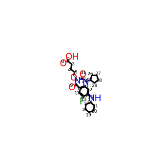 O=C(O)CCCOn1c(=O)c2cc(F)c(NC3CCCCC3)cc2n(C2CCCC2)c1=O